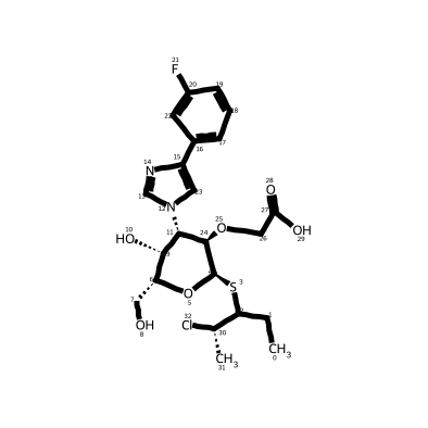 CCC(S[C@H]1O[C@H](CO)[C@H](O)[C@H](n2cnc(-c3cccc(F)c3)c2)[C@H]1OCC(=O)O)[C@H](C)Cl